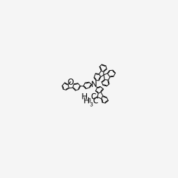 CC1(C)c2ccccc2-c2ccc(N(c3ccc(-c4ccc5c(c4)oc4ccccc45)cc3)c3ccc4c(c3)C3(c5ccccc5-c5ccccc53)c3ccccc3-4)cc21